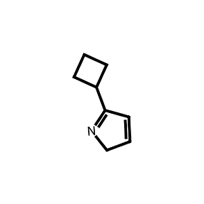 C1=CC(C2CCC2)=NC1